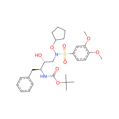 COc1ccc(S(=O)(=O)N(C[C@@H](O)[C@H](Cc2ccccc2)NC(=O)OC(C)(C)C)OC2CCCC2)cc1OC